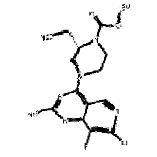 CSc1nc(N2CCN(C(=O)OC(C)(C)C)[C@@H](CC#N)C2)c2cnc(Cl)c(F)c2n1